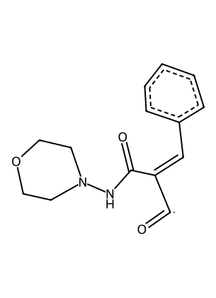 O=[C]C(=Cc1ccccc1)C(=O)NN1CCOCC1